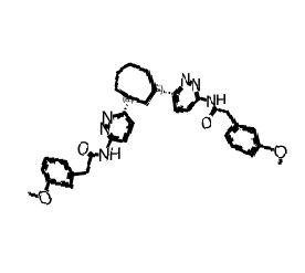 COc1cccc(CC(=O)Nc2ccc([C@@H]3CCCC[C@H](c4ccc(NC(=O)Cc5cccc(OC)c5)nn4)C3)nn2)c1